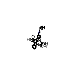 O=C1NCc2c1c1c3cc(/C=C/Cn4ccnc4)ccc3n3c1c1c2c2ccccc2n1CC(O)C(O)C3